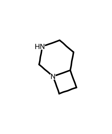 C1CC2CCN2CN1